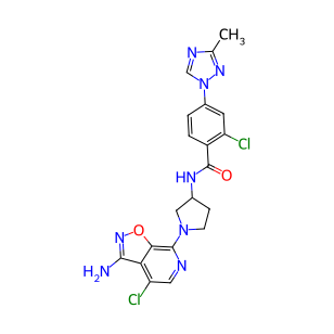 Cc1ncn(-c2ccc(C(=O)NC3CCN(c4ncc(Cl)c5c(N)noc45)C3)c(Cl)c2)n1